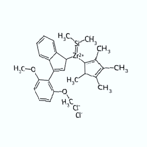 COc1cccc(OC)c1C1=C[CH]([Zr+2]([C]2=C(C)C(C)=C(C)C2C)=[Si](C)C)c2ccccc21.[Cl-].[Cl-]